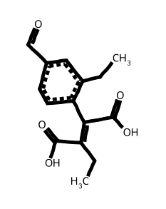 CCC(C(=O)O)=C(C(=O)O)c1ccc(C=O)cc1CC